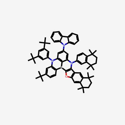 CC(C)(C)c1cc(N2c3cc(C(C)(C)C)ccc3B3c4oc5cc6c(cc5c4N(c4ccc5c(c4)C(C)(C)CCC5(C)C)c4cc(-n5c7ccccc7c7ccccc75)cc2c43)C(C)(C)CCC6(C)C)cc(C(C)(C)C)c1